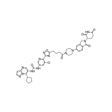 O=C1CCC(N2Cc3cc(N4CCN(C(=O)CCCc5nc(-c6ncc(NC(=O)Nc7cnc8ccnn8c7C7CCCC7)cc6Cl)no5)CC4)ccc3C2=O)C(=O)N1